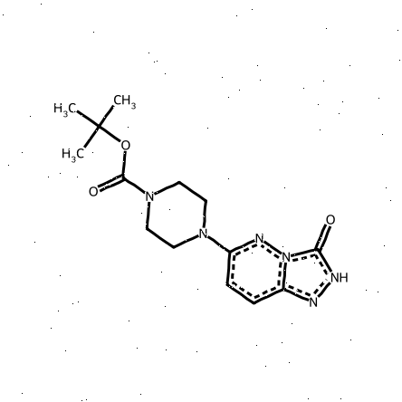 CC(C)(C)OC(=O)N1CCN(c2ccc3n[nH]c(=O)n3n2)CC1